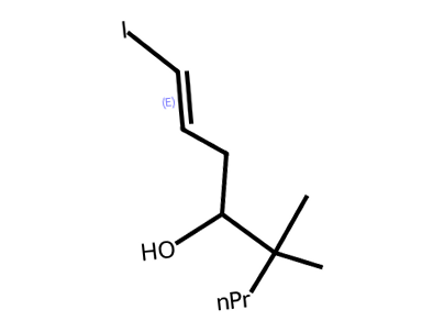 CCCC(C)(C)C(O)C/C=C/I